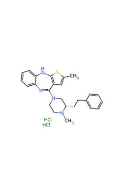 Cc1cc2c(s1)Nc1ccccc1N=C2N1CCN(C)[C@@H](CCc2ccccc2)C1.Cl.Cl